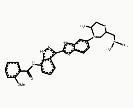 COc1ccccc1C(=O)Nc1cccc2c(-c3nc4ccc(N5CC(CN(C)C)OCC5C)cc4[nH]3)n[nH]c12